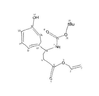 C=COC(=O)CC(NC(=O)OC(C)(C)C)c1cccc(O)c1